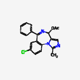 CC(=O)OC1N=C(c2ccccc2)c2cc(Cl)ccc2-n2c1cnc2C